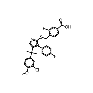 COc1ccc(C(C)(C)c2cnc(SCc3ccc(C(=O)O)cc3F)n2-c2ccc(F)cc2)cc1Cl